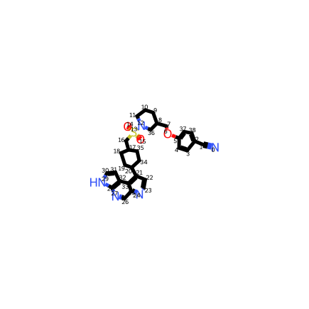 N#Cc1ccc(OCC2CCCN(S(=O)(=O)CC3CCC(c4ccnc5cnc6[nH]ccc6c45)CC3)C2)cc1